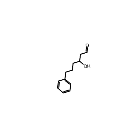 O=CCC(O)CCCc1ccccc1